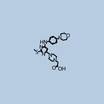 CSc1nc(Nc2ccc(N3CCOCC3)cc2)cc(N2CCN(CC(=O)O)CC2)n1